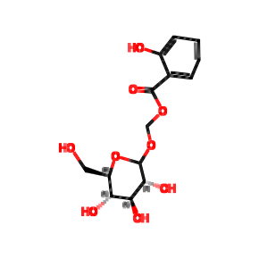 O=C(OCOC1O[C@H](CO)[C@@H](O)[C@H](O)[C@H]1O)c1ccccc1O